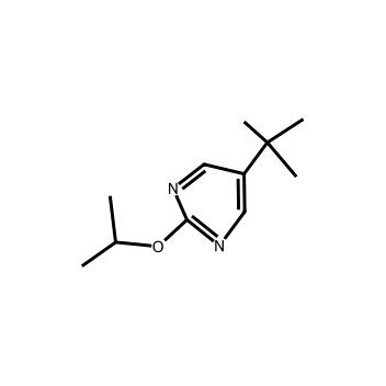 CC(C)Oc1ncc(C(C)(C)C)cn1